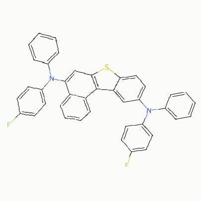 Fc1ccc(N(c2ccccc2)c2ccc3sc4cc(N(c5ccccc5)c5ccc(F)cc5)c5ccccc5c4c3c2)cc1